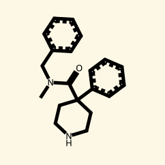 CN(Cc1ccccc1)C(=O)C1(c2ccccc2)CCNCC1